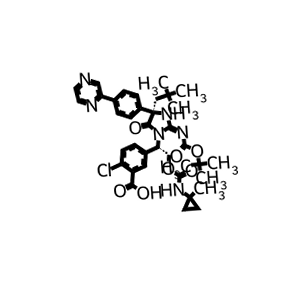 CC(C)(C)C[C@]1(c2ccc(-c3cnccn3)cc2)N/C(=N/C(=O)OC(C)(C)C)N([C@H](COC(=O)NC2(C)CC2)c2ccc(Cl)c(C(=O)O)c2)C1=O